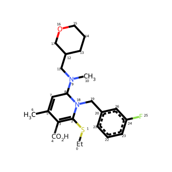 CCSC1=C(C(=O)O)C(C)=CC(N(C)CC2CCCOC2)N1Cc1cccc(F)c1